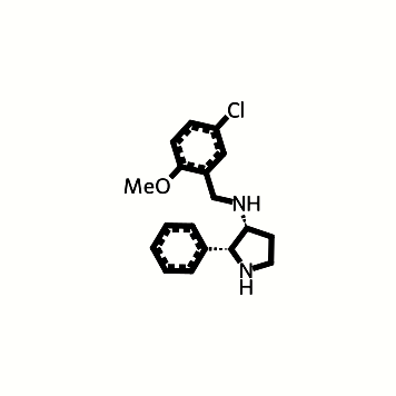 COc1ccc(Cl)cc1CN[C@@H]1CCN[C@@H]1c1ccccc1